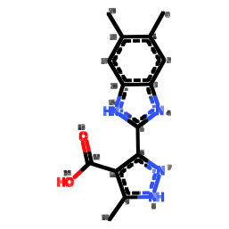 Cc1cc2nc(-c3n[nH]c(C)c3C(=O)O)[nH]c2cc1C